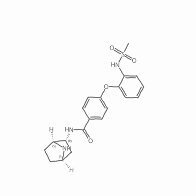 CS(=O)(=O)Nc1ccccc1Oc1ccc(C(=O)N[C@@H]2C[C@H]3CC[C@@H]2N3)cc1